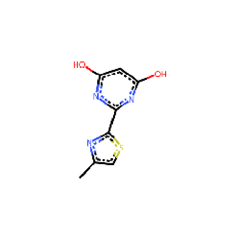 Cc1csc(-c2nc(O)cc(O)n2)n1